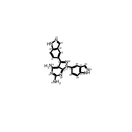 Nc1nc(N)c2c(-c3ccc4[nH]ncc4c3)nn(-c3ccc4[nH]ncc4c3)c2n1